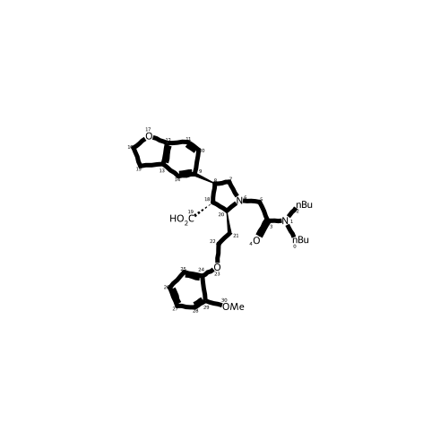 CCCCN(CCCC)C(=O)CN1C[C@H](c2ccc3c(c2)CCO3)[C@@H](C(=O)O)[C@@H]1CCOc1ccccc1OC